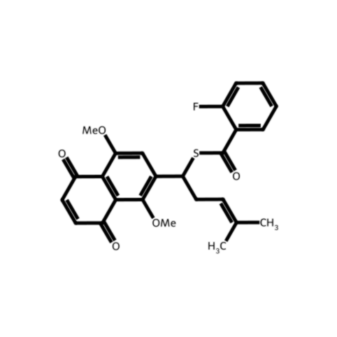 COc1cc(C(CC=C(C)C)SC(=O)c2ccccc2F)c(OC)c2c1C(=O)C=CC2=O